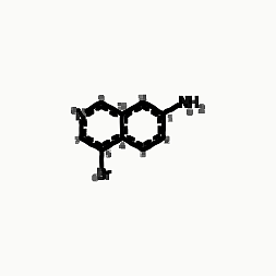 Nc1ccc2c(Br)cncc2c1